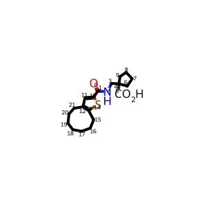 O=C(NCC1(C(=O)O)CCCC1)c1cc2c(s1)CCCCCCC2